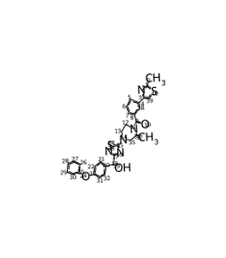 Cc1nc(-c2cccc(C(=O)N3CCN(c4nc(C(O)c5ccc(Oc6ccccc6)cc5)ns4)CC3C)c2)cs1